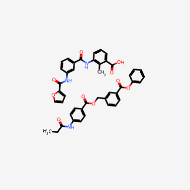 CCC(=O)Nc1ccc(C(=O)OCc2cccc(C(=O)Oc3ccccc3)c2)cc1.Cc1c(NC(=O)c2cccc(NC(=O)c3ccco3)c2)cccc1C(=O)O